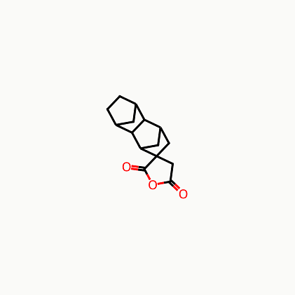 O=C1CC2(CC3CC2C2C4CCC(C4)C32)C(=O)O1